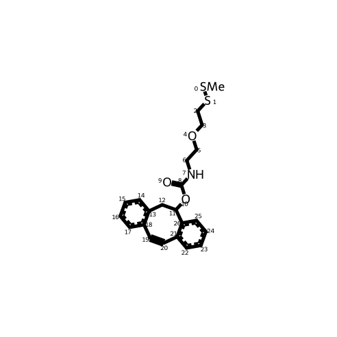 CSSCCOCCNC(=O)OC1Cc2ccccc2C#Cc2ccccc21